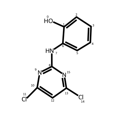 Oc1ccccc1Nc1nc(Cl)cc(Cl)n1